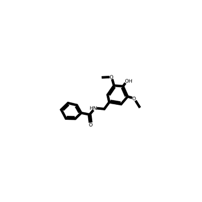 COc1cc(CNC(=O)c2ccccc2)cc(OC)c1O